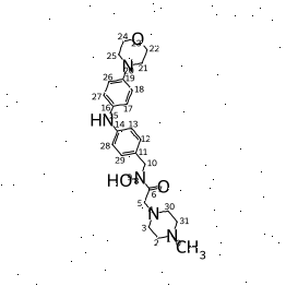 CN1CCN(CC(=O)N(O)Cc2ccc(Nc3ccc(N4CCOCC4)cc3)cc2)CC1